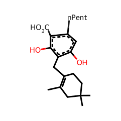 CCCCCc1cc(O)c(CC2=C(C)CC(C)(C)CC2)c(O)c1C(=O)O